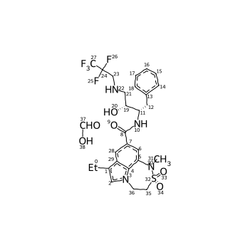 CCc1cn2c3c(cc(C(=O)N[C@@H](Cc4ccccc4)[C@H](O)CNCC(F)(F)C(F)(F)F)cc13)N(C)S(=O)(=O)CC2.O=CO